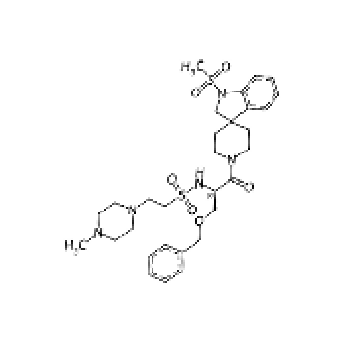 CN1CCN(CCS(=O)(=O)N[C@H](COCc2ccccc2)C(=O)N2CCC3(CC2)CN(S(C)(=O)=O)c2ccccc23)CC1